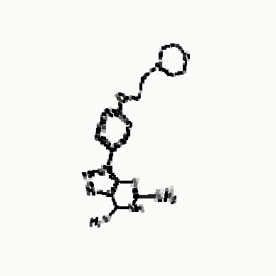 NC1=Nc2c(ncn2-c2ccc(OCCN3CCOCC3)cc2)C(N)N1